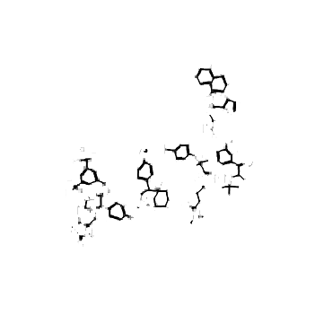 CC(NC(C)(C)C)C(=O)c1cccc(Cl)c1.CN(C)C(=O)CCCOC(=O)C(C)(C)Oc1ccc(Cl)cc1.CNCC[C@H](Oc1cccc2ccccc12)c1cccs1.COc1ccc(C(CN(C)C)C2(O)CCCCC2)cc1.C[C@@H](O[C@@H]1OCCN(Cc2nc(=O)[nH][nH]2)[C@@H]1c1ccc(F)cc1)c1cc(C(F)(F)F)cc(C(F)(F)F)c1